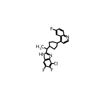 CC(c1nc2c(Cl)c(F)c(F)cc2[nH]1)C1CCC(c2ccnc3ccc(F)cc23)CC1